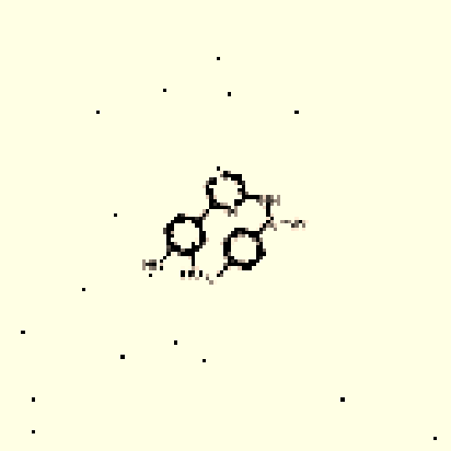 CCC[C@@H](Nc1cncc(-c2ccc(O)c(O)c2)n1)c1ccc(Cl)cc1